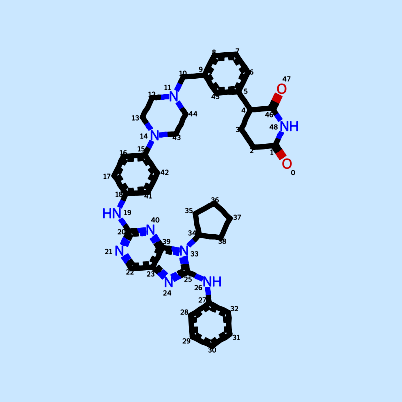 O=C1CCC(c2cccc(CN3CCN(c4ccc(Nc5ncc6nc(Nc7ccccc7)n(C7CCCC7)c6n5)cc4)CC3)c2)C(=O)N1